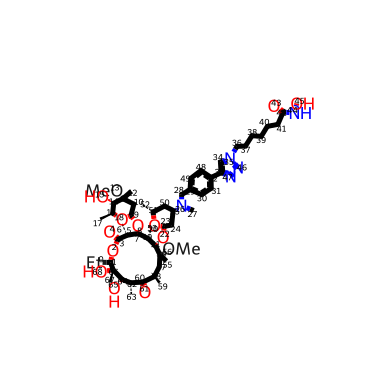 CCC1OC(=O)[C@H](C)[C@H](OC2C[C@@](C)(OC)[C@@H](O)[C@H](C)O2)[C@H](C)[C@@H](OC2C[C@@H](N(C)Cc3ccc(-c4cn(CCCCCCC(=O)NO)nn4)cc3)C[C@@H](C)O2)[C@@](C)(OC)C[C@@H](C)C(=O)[C@H](C)[C@@H](O)[C@]1(C)O